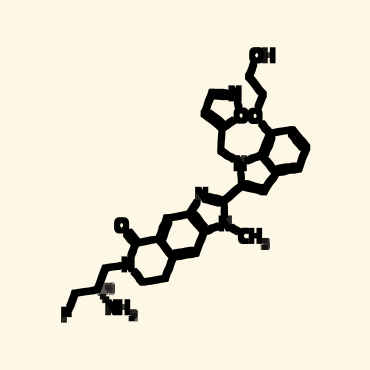 Cn1c(-c2cc3cccc(OCCO)c3n2Cc2ccno2)nc2cc3c(cc21)CCN(C[C@H](N)CF)C3=O